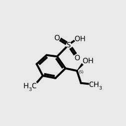 CC[C@H](O)c1cc(C)ccc1S(=O)(=O)O